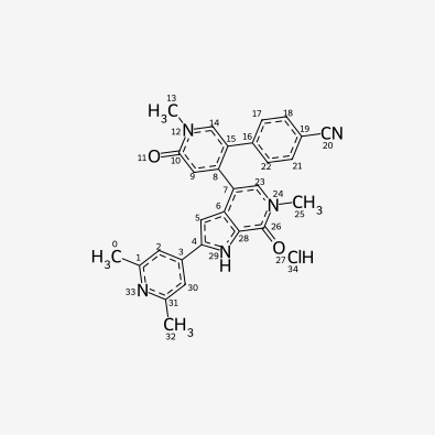 Cc1cc(-c2cc3c(-c4cc(=O)n(C)cc4-c4ccc(C#N)cc4)cn(C)c(=O)c3[nH]2)cc(C)n1.Cl